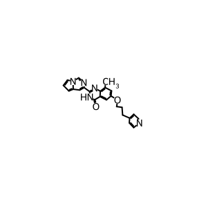 Cc1cc(OCCCc2ccncc2)cc2c(=O)[nH]c(-c3cc4cccn4cn3)nc12